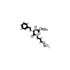 CC(C)(C)OC(=O)N[C@@H](CCc1ccccc1)C(=O)OCCCO[N+](=O)[O-]